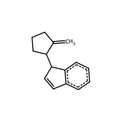 C=C1CCCC1C1C=Cc2ccccc21